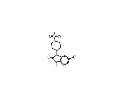 CS(=O)(=O)N1CCC(C2C(=O)Nc3ccc(Cl)cc32)CC1